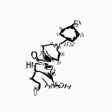 CCC(NS(=O)(=O)N1CCN(c2ccc(Cl)cc2)CC1)C(=O)NO